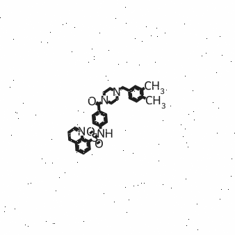 Cc1ccc(CN2CCN(C(=O)c3ccc(NS(=O)(=O)c4cccc5c4N=CCC5)cc3)CC2)cc1C